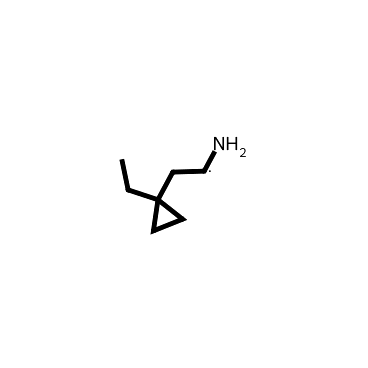 CCC1(C[CH]N)CC1